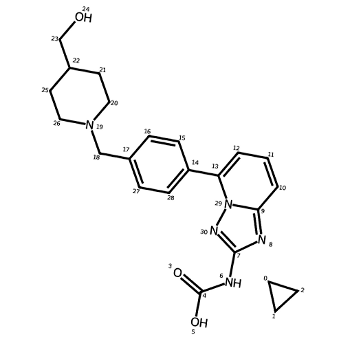 C1CC1.O=C(O)Nc1nc2cccc(-c3ccc(CN4CCC(CO)CC4)cc3)n2n1